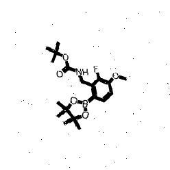 COc1ccc(B2OC(C)(C)C(C)(C)O2)c(CNC(=O)OC(C)(C)C)c1F